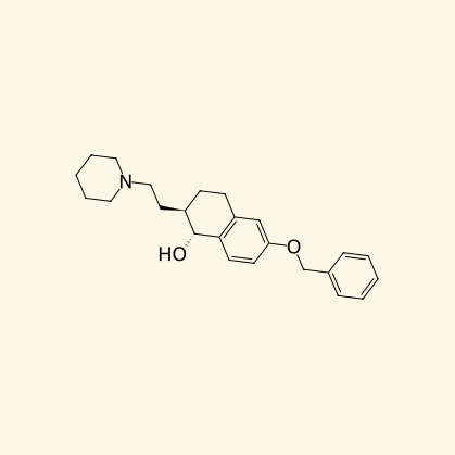 O[C@H]1c2ccc(OCc3ccccc3)cc2CC[C@@H]1CCN1CCCCC1